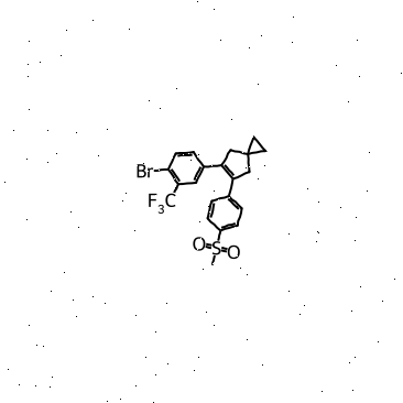 CS(=O)(=O)c1ccc(C2=C(c3ccc(Br)c(C(F)(F)F)c3)CC3(CC3)C2)cc1